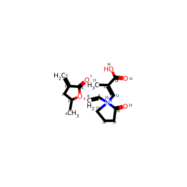 C=C1CC(C)OC1=O.C=C[N+]1(C=C(C)C(=O)O)CCCC1=O